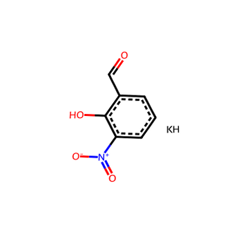 O=Cc1cccc([N+](=O)[O-])c1O.[KH]